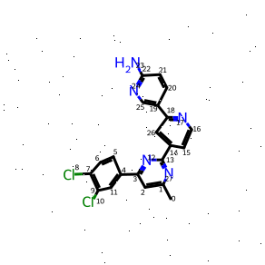 Cc1cc(-c2ccc(Cl)c(Cl)c2)nc(-c2ccnc(-c3ccc(N)nc3)c2)n1